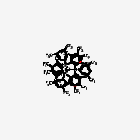 FC(F)(F)c1cc(C(F)(F)F)cc([PH](c2cc(C(F)(F)F)cc(C(F)(F)F)c2)(c2cc(C(F)(F)F)cc(C(F)(F)F)c2)[Pd]([PH](c2cc(C(F)(F)F)cc(C(F)(F)F)c2)(c2cc(C(F)(F)F)cc(C(F)(F)F)c2)c2cc(C(F)(F)F)cc(C(F)(F)F)c2)[PH](c2cc(C(F)(F)F)cc(C(F)(F)F)c2)(c2cc(C(F)(F)F)cc(C(F)(F)F)c2)c2cc(C(F)(F)F)cc(C(F)(F)F)c2)c1